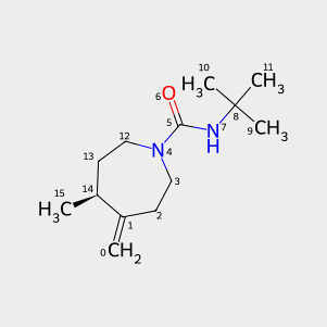 C=C1CCN(C(=O)NC(C)(C)C)CC[C@@H]1C